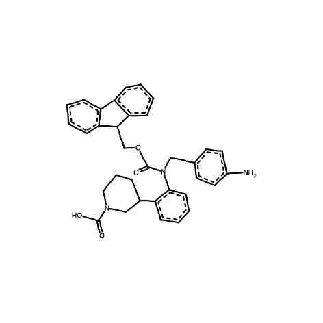 Nc1ccc(CN(C(=O)OCC2c3ccccc3-c3ccccc32)c2ccccc2C2CCCN(C(=O)O)C2)cc1